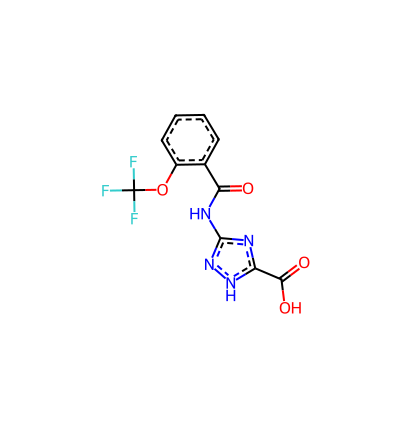 O=C(O)c1nc(NC(=O)c2ccccc2OC(F)(F)F)n[nH]1